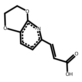 O=C(O)/C=C/c1ccc2c(n1)OCCO2